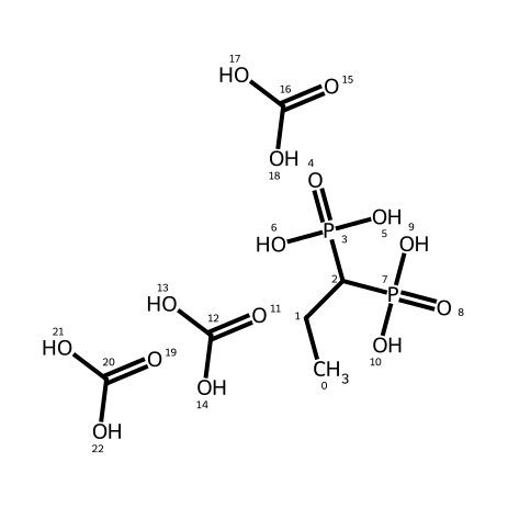 CCC(P(=O)(O)O)P(=O)(O)O.O=C(O)O.O=C(O)O.O=C(O)O